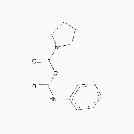 O=C(Nc1ccccc1)OC(=O)N1CCCC1